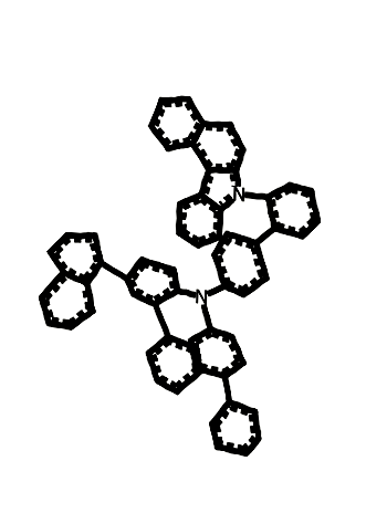 c1ccc(-c2ccc(N(c3ccc(-c4ccccc4-n4c5ccccc5c5c6ccccc6ccc54)cc3)c3ccc(-c4cccc5ccccc45)cc3-c3ccccc3)cc2)cc1